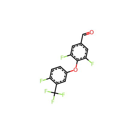 O=Cc1cc(F)c(Oc2ccc(F)c(C(F)(F)F)c2)c(F)c1